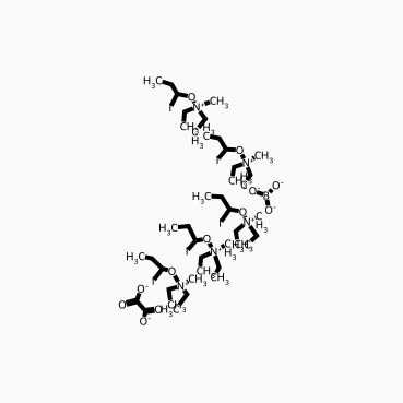 CCC(I)O[N+](C)(CC)CC.CCC(I)O[N+](C)(CC)CC.CCC(I)O[N+](C)(CC)CC.CCC(I)O[N+](C)(CC)CC.CCC(I)O[N+](C)(CC)CC.O=C([O-])C(=O)[O-].[O-]B([O-])[O-]